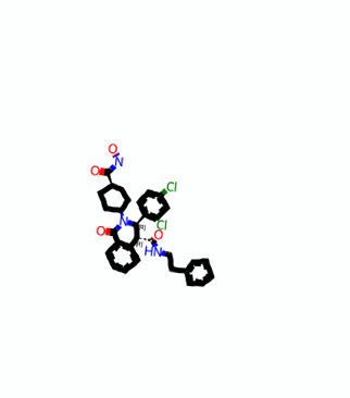 O=NC(=O)[C@H]1CC[C@@H](N2C(=O)c3ccccc3[C@@H](C(=O)NCCc3ccccc3)[C@@H]2c2ccc(Cl)cc2Cl)CC1